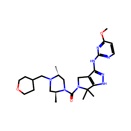 COc1ccnc(Nc2n[nH]c3c2CN(C(=O)N2C[C@@H](C)N(CC4CCOCC4)C[C@@H]2C)C3(C)C)n1